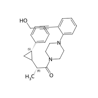 C[C@@H](C(=O)N1CCN(c2ccccc2C#CCO)CC1)C1C[C@@H]1c1ccccc1